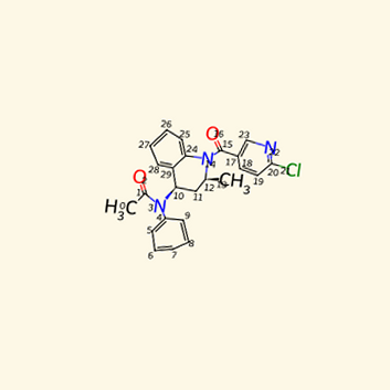 CC(=O)N(c1ccccc1)[C@@H]1C[C@H](C)N(C(=O)c2ccc(Cl)nc2)c2ccccc21